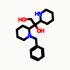 OCC(O)(C1CCCCN1)C1CCCCN1Cc1ccccc1